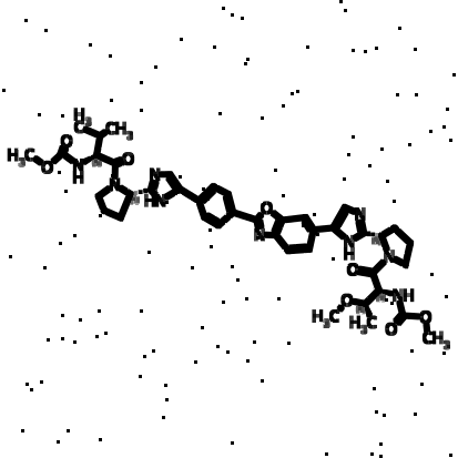 COC(=O)N[C@H](C(=O)N1CCC[C@H]1c1ncc(-c2ccc(-c3nc4ccc(-c5cnc([C@@H]6CCCN6C(=O)[C@@H](NC(=O)OC)[C@@H](C)OC)[nH]5)cc4o3)cc2)[nH]1)C(C)C